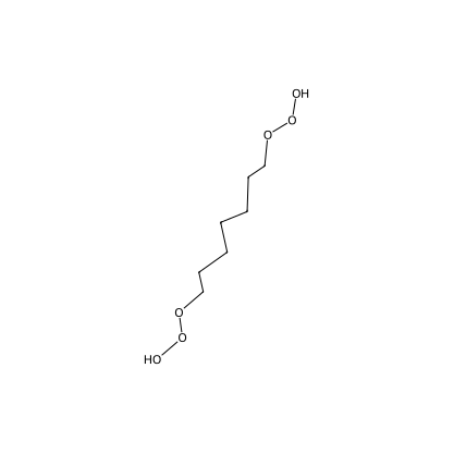 OOOCCCCCCCOOO